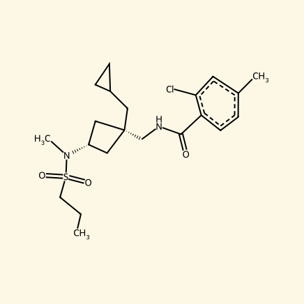 CCCS(=O)(=O)N(C)[C@H]1C[C@](CNC(=O)c2ccc(C)cc2Cl)(CC2CC2)C1